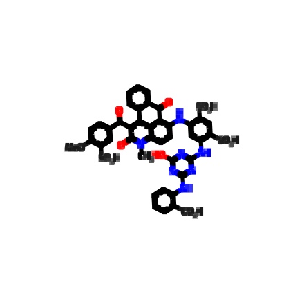 COc1ccc(C(=O)c2c3c4c(c(Nc5cc(Nc6nc(O)nc(Nc7ccccc7C(=O)O)n6)c(S(=O)(=O)O)cc5S(=O)(=O)O)ccc4n(C)c2=O)C(=O)c2ccccc2-3)cc1S(=O)(=O)O